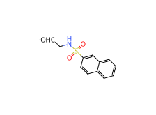 O=[C]CNS(=O)(=O)c1ccc2ccccc2c1